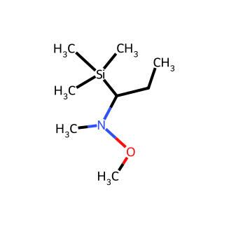 CCC(N(C)OC)[Si](C)(C)C